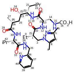 CC[C@@H](Cn1nc(C)cc1C)C(=O)N[C@@H](CNC(=O)O)C(=O)N[C@@H](CC(C)C)[C@@H](O)C[C@@H](C)C(=O)N[C@H](C(=O)NCc1ccccn1)C(C)C